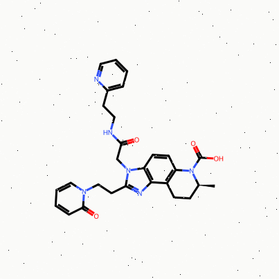 C[C@H]1CCc2c(ccc3c2nc(CCn2ccccc2=O)n3CC(=O)NCCc2ccccn2)N1C(=O)O